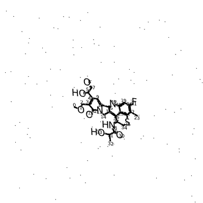 COCc1c(C(O)C=O)cc2n(c1=O)Cc1c-2nc2cc(F)c(C)c3c2c1C(NC(=O)C(C)O)CS3